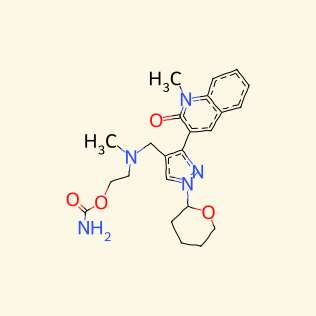 CN(CCOC(N)=O)Cc1cn(C2CCCCO2)nc1-c1cc2ccccc2n(C)c1=O